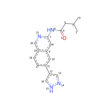 CC(C)CC(=O)Nc1cc2cc(-c3cn[nH]c3)ccc2cn1